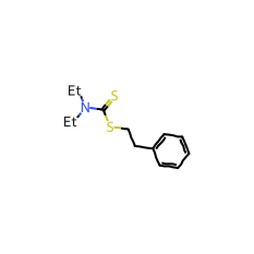 CCN(CC)C(=S)SCCc1ccccc1